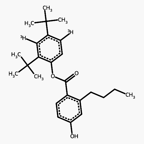 [3H]c1cc(OC(=O)c2ccc(O)cc2CCCC)c(C(C)(C)C)c([3H])c1C(C)(C)C